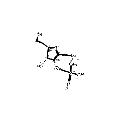 NC1O[C@H](CO)[C@@H](O)[C@H]1OP(=O)(O)O